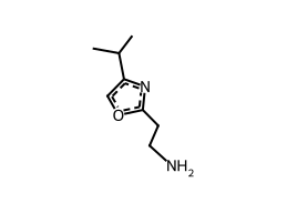 CC(C)c1coc(CCN)n1